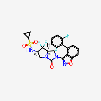 O=C1N(c2noc3cccc(-c4c(F)cccc4F)c23)C[C@H]2N1C[C@@H](NS(=O)(=O)C1CC1)C2(F)F